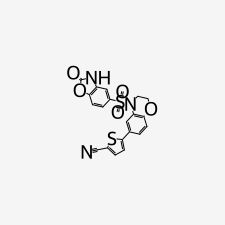 N#Cc1ccc(-c2ccc3c(c2)N(S(=O)(=O)c2ccc4oc(=O)[nH]c4c2)CCO3)s1